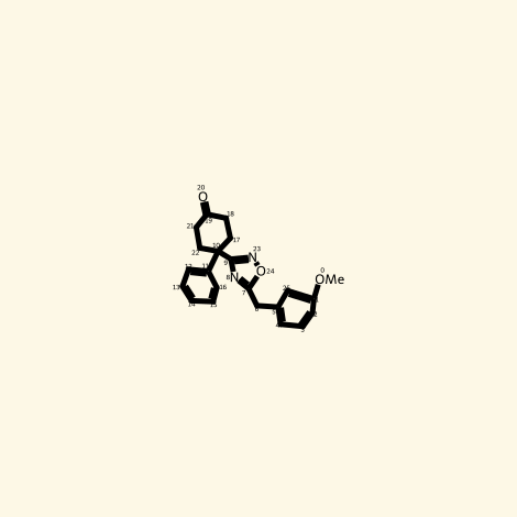 COc1cccc(Cc2nc(C3(c4ccccc4)CCC(=O)CC3)no2)c1